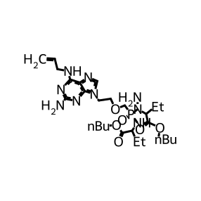 C=CCNc1nc(N)nc2c1ncn2CCOCP(=O)(NC(CC)C(=O)OCCCC)N(N)C(CC)C(=O)OCCCC